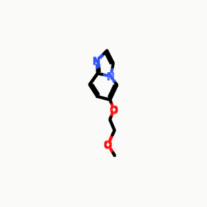 COCCOc1ccc2nccn2c1